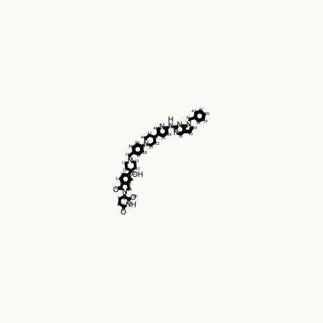 O=C1CCC(N2Cc3cc(C4(O)CCN(Cc5ccc(N6CCC(c7ccc(Nc8ncc9ccn(Cc%10ccccc%10)c9n8)nc7)CC6)cc5)CC4)ccc3C2=O)C(=O)N1